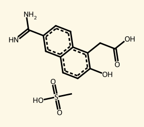 CS(=O)(=O)O.N=C(N)c1ccc2c(CC(=O)O)c(O)ccc2c1